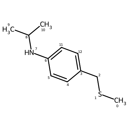 CSCc1ccc(NC(C)C)cc1